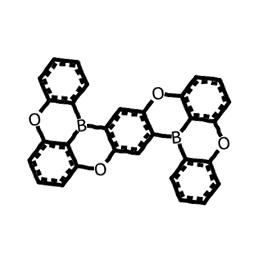 c1ccc2c(c1)Oc1cccc3c1B2c1cc2c(cc1O3)B1c3ccccc3Oc3cccc(c31)O2